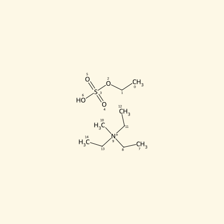 CCOS(=O)(=O)O.CC[N+](C)(CC)CC